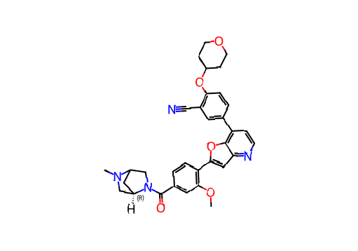 COc1cc(C(=O)N2CC3C[C@@H]2CN3C)ccc1-c1cc2nccc(-c3ccc(OC4CCOCC4)c(C#N)c3)c2o1